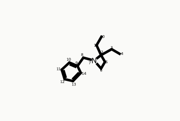 CCC1(CC)CCN1Cc1ccccc1